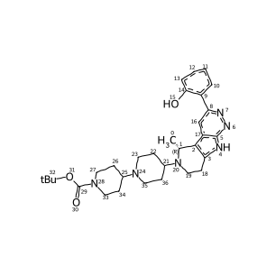 C[C@@H]1c2c([nH]c3nnc(-c4ccccc4O)cc23)CCN1C1CCN(C2CCN(C(=O)OC(C)(C)C)CC2)CC1